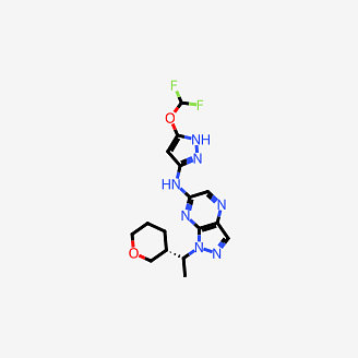 CC([C@H]1CCCOC1)n1ncc2ncc(Nc3cc(OC(F)F)[nH]n3)nc21